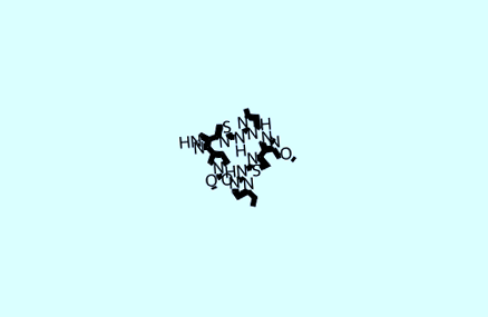 CCc1ccnc(Nc2nc(-c3c[nH]nc3COC)cs2)n1.COC(=O)N1CC=C(c2n[nH]cc2-c2csc(Nc3nccc(C)n3)n2)C1